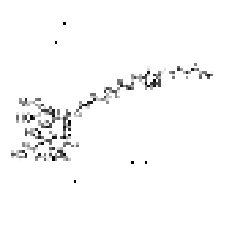 C#CCCCCCc1cn(COCCOCCOCCNC(=O)C2OC(OC)C(O)C(O)C2OC(OCCO)C(NC(C)=O)[C@H](C)C(C)O)nn1